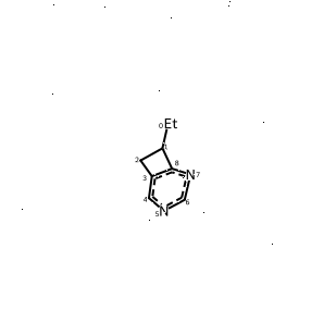 CCC1Cc2cncnc21